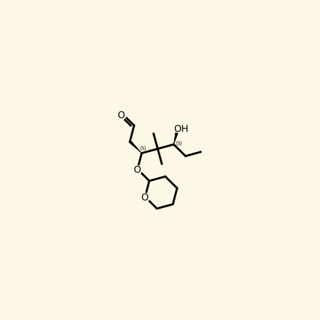 CC[C@H](O)C(C)(C)[C@H](CC=O)OC1CCCCO1